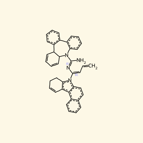 C=C/C=C(\N=C(/N)N1c2ccccc2-c2ccccc2C2C=CC=CC21)n1c2c(c3c4ccccc4ccc31)C=CCC2